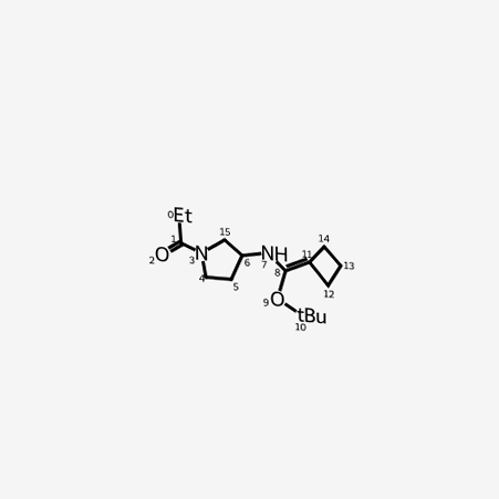 CCC(=O)N1CCC(NC(OC(C)(C)C)=C2CCC2)C1